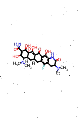 CCN(C)C1Cc2c(F)c3c(c(O)c2NC1=O)C(=O)C1=C(O)[C@]2(O)C(=O)C(C(N)=O)=C(O)[C@@H](N(C)C)[C@@H]2C[C@@H]1C3